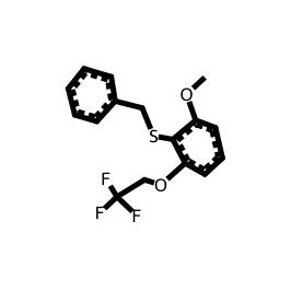 COc1cccc(OCC(F)(F)F)c1SCc1ccccc1